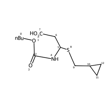 CCCCOC(=O)NC(CC(=O)O)SCC1CC1